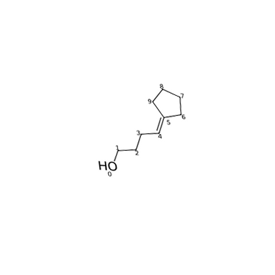 OCCCC=C1CCCC1